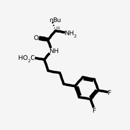 CCCC[C@H](N)C(=O)NC(CCCc1ccc(F)c(F)c1)C(=O)O